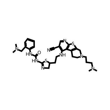 CN(C)CCCN1CCc2c(sc3ncc(C#N)c(NCCC4CN=C(NC(=O)Nc5ccccc5CN(C)C)S4)c23)C1